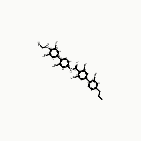 CCCc1ccc(-c2cc(F)c(C(=O)Oc3ccc(-c4cc(F)c(OCF)c(F)c4)c(F)c3)c(F)c2)c(F)c1